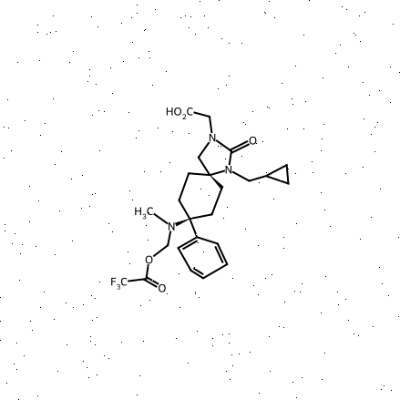 CN(COC(=O)C(F)(F)F)[C@]1(c2ccccc2)CC[C@@]2(CC1)CN(CC(=O)O)C(=O)N2CC1CC1